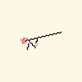 CCCCCCCCCCCCCC(C=CCl)CCCC(CCP(=O)(O)O)N(CCCC)CCCC